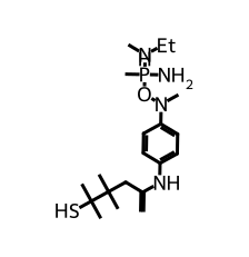 C=C(CC(C)(C)C(C)(C)S)Nc1ccc(N(C)O[PH](C)(N)N(C)CC)cc1